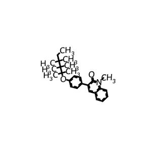 CCC(C)(C)C(C)(C)C(C)(C)Oc1ccc(-c2cc3ccccc3n(C)c2=O)cc1